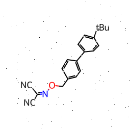 CC(C)(C)c1ccc(-c2ccc(CON=C(C#N)C#N)cc2)cc1